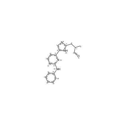 CC(C=O)Cc1ncc(-c2ccnc(Nc3ccccc3)n2)[nH]1